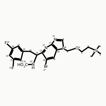 C[Si](C)(C)CCOCn1cnc2nc(C(Cc3cc(F)cc(F)c3)NC(=O)O)c(Br)cc21